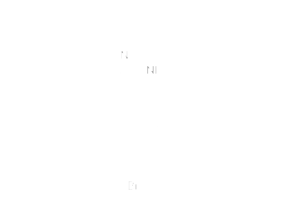 Brc1ccc2cc(-c3cnc(C4CCCC4)[nH]3)ccc2c1